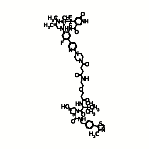 Cc1ncsc1-c1ccc(CNC(=O)[C@@H]2C[C@@H](O)CN2C(=O)C(NC(=O)CCOCCNC(=O)CCC(=O)N2CCN(c3ccc(-c4cc(NC(=O)c5c[nH]c(=O)cc5C(F)(F)F)c(N5C[C@@H](C)N(C)[C@@H](C)C5)cc4F)cn3)CC2)C(C)(C)C)cc1